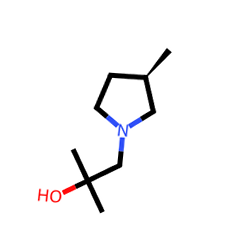 C[C@@H]1CCN(CC(C)(C)O)C1